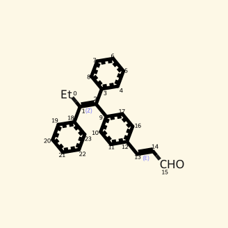 CC/C(=C(\c1ccccc1)c1ccc(/C=C/C=O)cc1)c1ccccc1